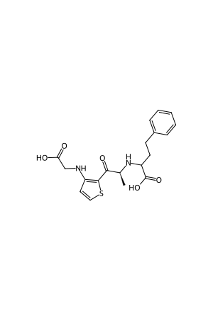 C[C@H](NC(CCc1ccccc1)C(=O)O)C(=O)c1sccc1NCC(=O)O